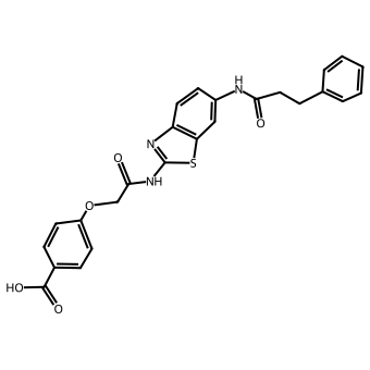 O=C(CCc1ccccc1)Nc1ccc2nc(NC(=O)COc3ccc(C(=O)O)cc3)sc2c1